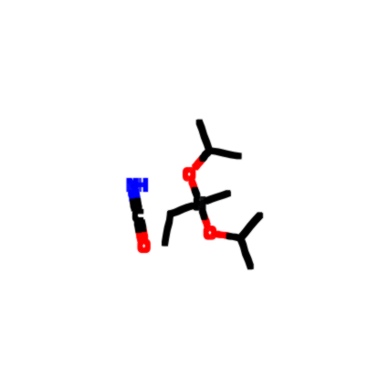 CC[Si](C)(OC(C)C)OC(C)C.N=C=O